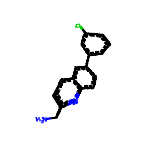 NCc1ccc2cc(-c3cccc(Cl)c3)ccc2n1